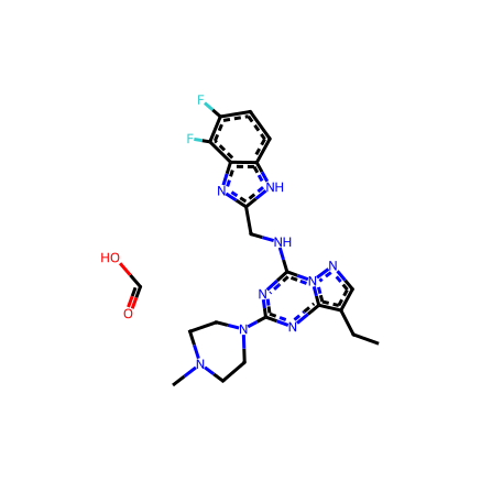 CCc1cnn2c(NCc3nc4c(F)c(F)ccc4[nH]3)nc(N3CCN(C)CC3)nc12.O=CO